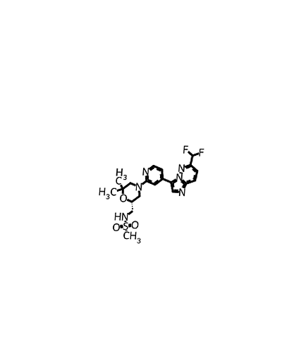 CC1(C)CN(c2cc(-c3cnc4ccc(C(F)F)nn34)ccn2)C[C@H](CNS(C)(=O)=O)O1